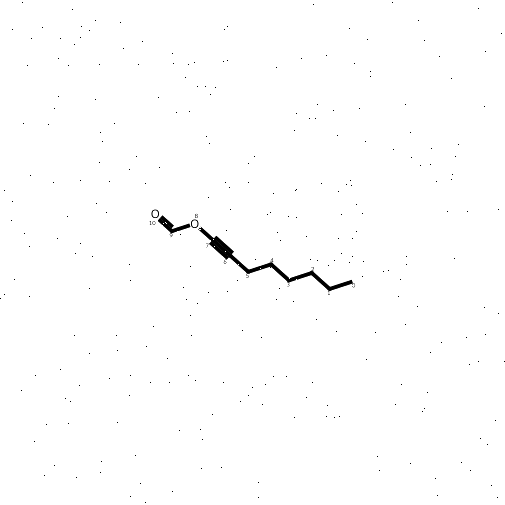 CCCCCCC#CO[C]=O